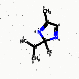 CCC1(C(C)C#N)N=CC(C)=N1